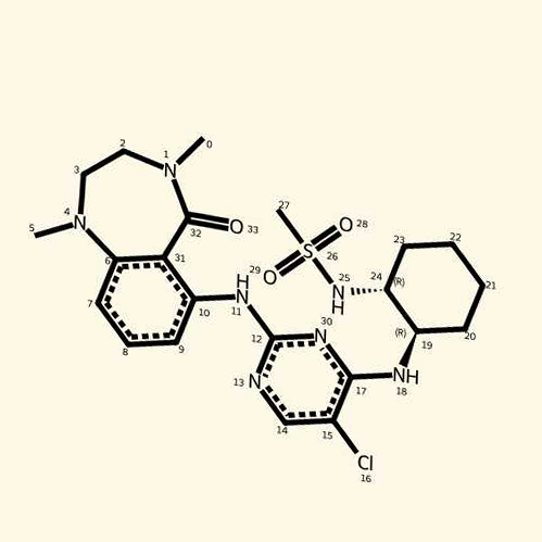 CN1CCN(C)c2cccc(Nc3ncc(Cl)c(N[C@@H]4CCCC[C@H]4NS(C)(=O)=O)n3)c2C1=O